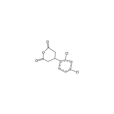 O=C1CC(c2ccc(Cl)cc2Cl)CC(=O)O1